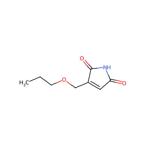 CCCOCC1=CC(=O)NC1=O